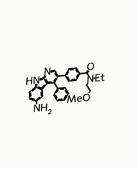 CCN(CCOC)C(=O)c1ccc(-c2cnc3[nH]c4ccc(N)cc4c3c2-c2ccccc2)cc1